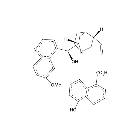 C=C[C@@H]1CN2CCC1C[C@H]2[C@@H](O)c1ccnc2ccc(OC)cc12.O=C(O)c1cccc2c(O)cccc12